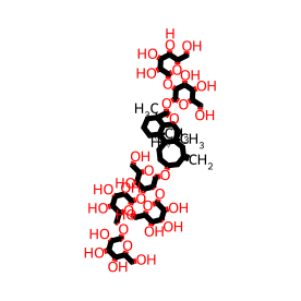 C=C1CC(OC2OC(CO)C(O)C(OC3OC(COC4OC(CO)C(O)C(O)C4O)C(O)C(O)C3O)C2OC2OC(CO)C(O)C(O)C2O)CC[C@@H]2[C@](C)(CCC3[C@](C)(C(=O)OC4OC(CO)C(O)C(O)C4OC4OC(CO)C(O)C(O)C4O)CCC[C@]32C)C1